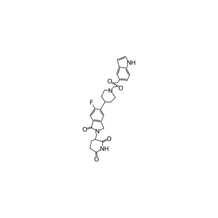 O=C1CCC(N2Cc3cc(C4CCN(S(=O)(=O)c5ccc6[nH]ccc6c5)CC4)c(F)cc3C2=O)C(=O)N1